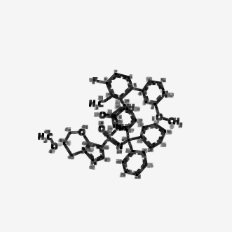 COc1cc(-c2ccc(F)c(C)c2NC(=O)NS(=O)(=NC(c2ccccc2)(c2ccccc2)c2ccccc2)c2cnn3c2OC[C@@H](OC)C3)ccn1